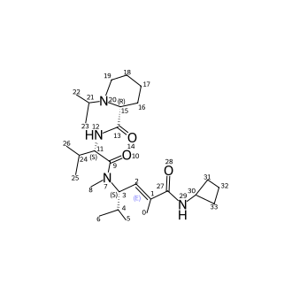 C/C(=C\[C@H](C(C)C)N(C)C(=O)[C@@H](NC(=O)[C@H]1CCCCN1C(C)C)C(C)C)C(=O)NC1CCC1